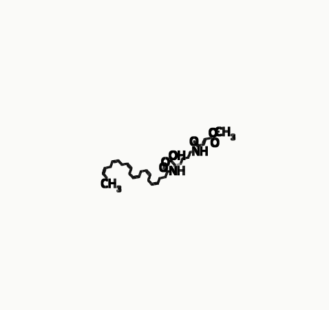 CC/C=C\C/C=C\C/C=C\C/C=C\C/C=C\C/C=C\CCC(=O)N[C@@H](CCCCNC(=O)/C=C/C(=O)OC)C(=O)O